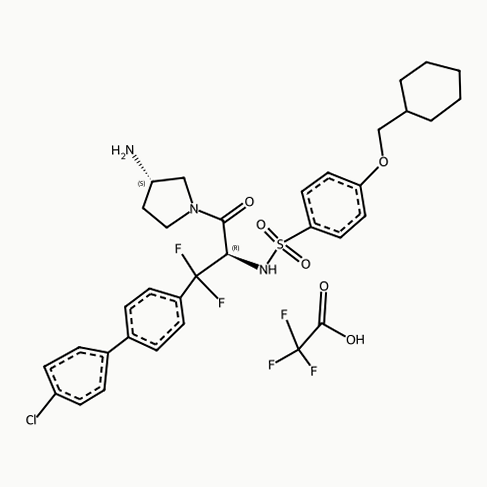 N[C@H]1CCN(C(=O)[C@@H](NS(=O)(=O)c2ccc(OCC3CCCCC3)cc2)C(F)(F)c2ccc(-c3ccc(Cl)cc3)cc2)C1.O=C(O)C(F)(F)F